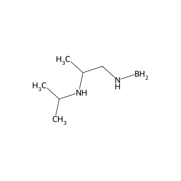 BNCC(C)NC(C)C